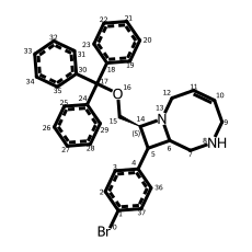 Brc1ccc(C2C3CNCC=CCN3[C@@H]2COC(c2ccccc2)(c2ccccc2)c2ccccc2)cc1